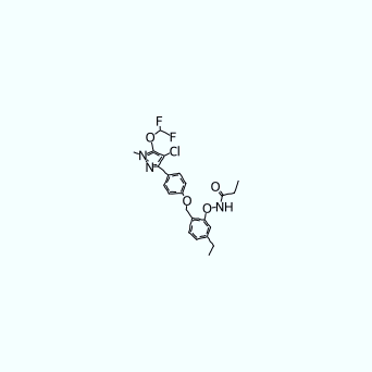 CCC(=O)NOc1cc(CC)ccc1COc1ccc(-c2nn(C)c(OC(F)F)c2Cl)cc1